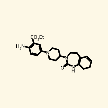 CCOC(=O)c1cc(N2CCC(N3CCC4=C(CCC=C4)NC3=O)CC2)ccc1N